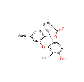 COc1ccc2c(c1)Oc1c(ccc(O)c1CF)C21OC(=O)c2ccccc21